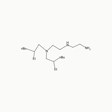 CCCCC(CC)CN(CCNCCN)CC(CC)CCCC